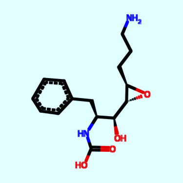 NCCC[C@H]1O[C@@H]1[C@@H](O)[C@H](Cc1ccccc1)NC(=O)O